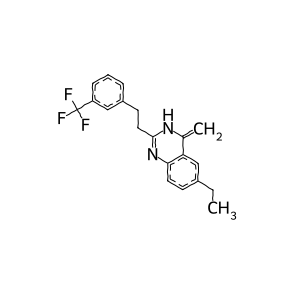 C=C1NC(CCc2cccc(C(F)(F)F)c2)=Nc2ccc(CC)cc21